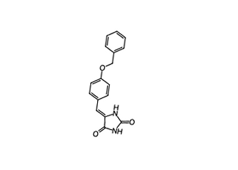 O=C1NC(=O)/C(=C/c2ccc(OCc3ccccc3)cc2)N1